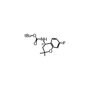 CC(C)(C)OC(=O)N[C@@H]1CC(C)(C)Oc2cc(F)ccc21